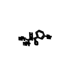 CCCC(CCC)NC(=O)c1cccc(Br)c1